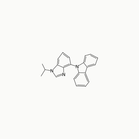 CC(C)n1cnc2c(-n3c4ccccc4c4ccccc43)cccc21